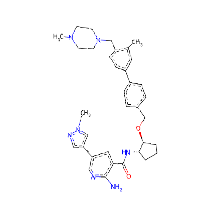 Cc1cc(-c2ccc(CO[C@H]3CCC[C@@H]3NC(=O)c3cc(-c4cnn(C)c4)cnc3N)cc2)ccc1CN1CCN(C)CC1